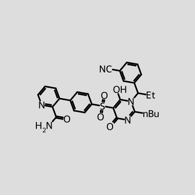 CCCCc1nc(=O)c(S(=O)(=O)c2ccc(-c3cccnc3C(N)=O)cc2)c(O)n1C(CC)c1cccc(C#N)c1